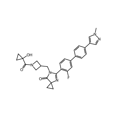 Cn1cc(-c2ccc(-c3ccc(C4=NC5(CC5)C(=O)N4CC4CN(C(=O)C5(O)CC5)C4)c(F)c3)cc2)cn1